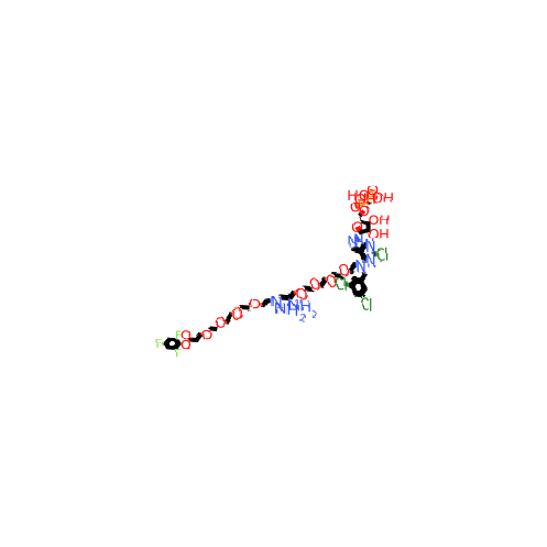 N/C(=C\N(N)CCOCCOCCOCCOCCC(=O)Oc1c(F)cc(F)cc1F)COCCOCCOCCOCCN(Cc1cc(Cl)cc(Cl)c1)c1nc(Cl)nc2c1cnn2[C@@H]1O[C@H](COP(=O)(O)CP(=O)(O)O)[C@@H](O)[C@H]1O